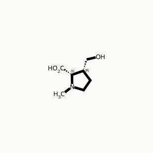 CN1CC[C@@H](CO)[C@H]1C(=O)O